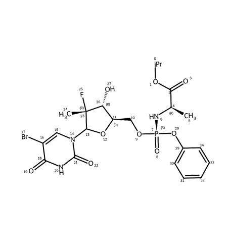 CC(C)OC(=O)[C@@H](C)N[P@@](=O)(OC[C@H]1OC(n2cc(Br)c(=O)[nH]c2=O)[C@](C)(F)[C@@H]1O)Oc1ccccc1